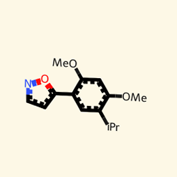 COc1cc(OC)c(C(C)C)cc1-c1ccno1